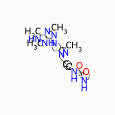 CNc1c(C(C)=N)nc(C)nc1N1CCc2c(c(C)nn2CC23CCC(NC(=O)[C@@H]4CNCCO4)(CC2)CC3)C1